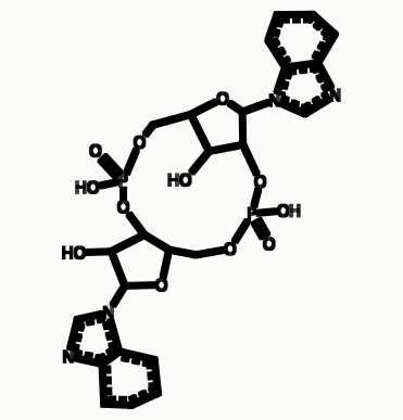 O=P1(O)OCC2OC(n3cnc4ccccc43)C(OP(=O)(O)OCC3OC(n4cnc5ccccc54)C(O)C3O1)C2O